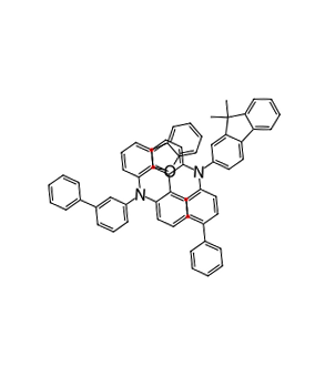 CC1(C)c2ccccc2-c2ccc(N(c3ccc(-c4ccccc4)cc3)c3ccccc3-c3ccccc3N(c3cccc(-c4ccccc4)c3)c3cccc4c3oc3ccccc34)cc21